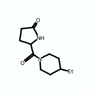 [CH2]CC1CCN(C(=O)C2CCC(=O)N2)CC1